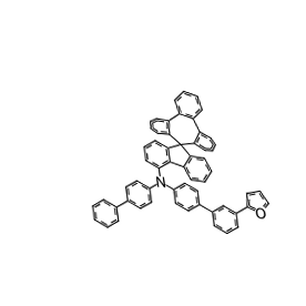 c1ccc(-c2ccc(N(c3ccc(-c4cccc(-c5ccco5)c4)cc3)c3cccc4c3-c3ccccc3C43c4ccccc4-c4ccccc4-c4ccccc43)cc2)cc1